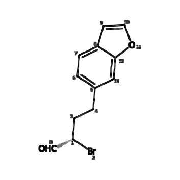 O=C[C@@H](Br)CCc1ccc2ccoc2c1